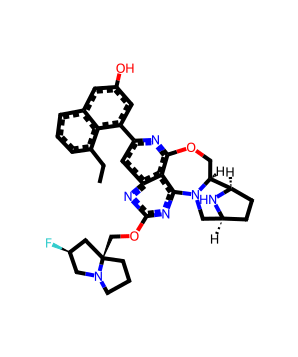 CCc1cccc2cc(O)cc(-c3cc4nc(OC[C@@]56CCCN5C[C@@H](F)C6)nc5c4c(n3)OC[C@H]3[C@H]4CC[C@@H](CN53)N4)c12